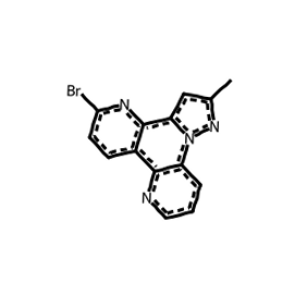 Cc1cc2c3nc(Br)ccc3c3ncccc3n2n1